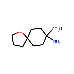 NC1(C(=O)O)CCC2(CCCO2)CC1